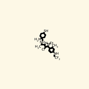 C=C(NCC1(N)CCC(S)CC1)c1nn(CC)c(-c2ccc(NCC(F)(F)F)cc2C)c1Cl